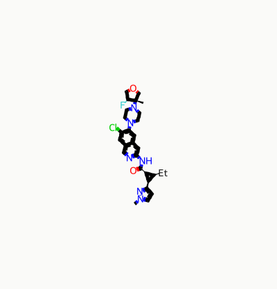 CC[C@H]1[C@@H](C(=O)Nc2cc3cc(N4CCN([C@@]5(C)COC[C@H]5F)CC4)c(Cl)cc3cn2)[C@@H]1c1ccn(C)n1